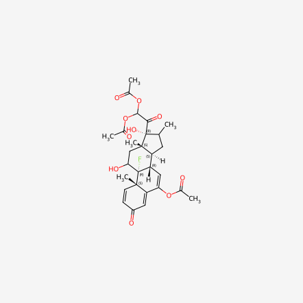 CC(=O)OC1=C[C@H]2[C@@H]3CC(C)[C@](O)(C(=O)C(OC(C)=O)OC(C)=O)[C@@]3(C)CC(O)[C@]2(F)[C@@]2(C)C=CC(=O)C=C12